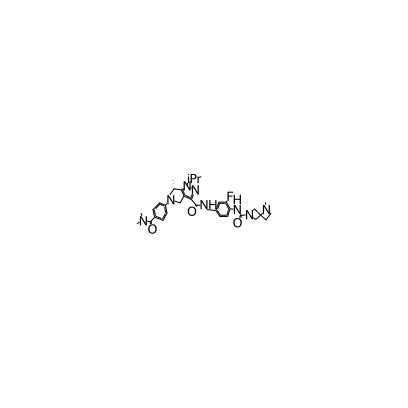 CC(C)n1nc(C(=O)NCc2ccc(NC(=O)N3CC4(CCN4C)C3)c(F)c2)c2c1[C@@H](C)CN(c1ccc(C(=O)N(C)C)cc1)C2